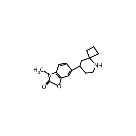 Cn1c(=O)oc2cc(C3CCNC4(CCC4)C3)ccc21